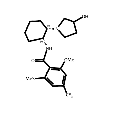 COc1cc(C(F)(F)F)cc(SC)c1C(=O)N[C@@H]1CCCC[C@@H]1N1CCC(O)C1